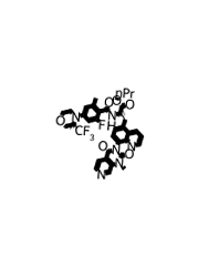 CCCOC(=O)[C@H](Cc1ccc(-n2c(=O)c3ccncc3n(C)c2=O)c2ncccc12)NC(=O)c1c(C)cc(N2CCOC[C@@H]2C(F)(F)F)cc1F